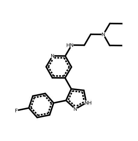 CCN(CC)CCNc1cc(-c2c[nH]nc2-c2ccc(F)cc2)ccn1